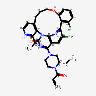 C=CC(=O)N1CCN(c2nc(=O)n3c4nc(c(F)cc24)-c2c(F)cccc2OCCCc2ccnc(C(C)C)c2-3)C[C@@H]1CC